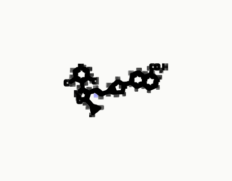 O=C(O)c1nccc2cc(N3CC4C(/C=C/c5c(-c6c(Cl)cncc6Cl)noc5C5CC5)C4C3)ccc12